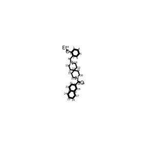 CCOc1ccccc1CN1CCC2(CC1)CCN(C(=O)c1ccc3ccccc3c1)CC2